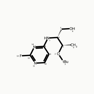 C[C@H](OC(C)(C)C)[C@@H](CO)Nc1ccnc(F)n1